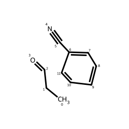 CCC=O.N#Cc1ccccc1